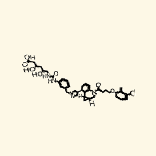 Cc1c(Cl)cccc1OCCCC(=O)N1C[C@@H]2C[C@@H]2c2c(-c3cnn(Cc4cccc(NC(=O)NC[C@@H](O)C[C@@H](O)CC(=O)O)c4)c3)cccc21